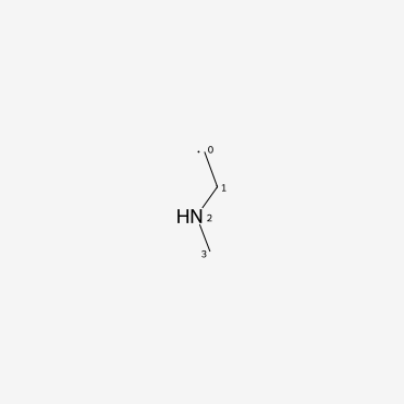 [CH2]CNC